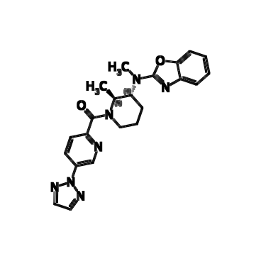 C[C@H]1[C@H](N(C)c2nc3ccccc3o2)CCCN1C(=O)c1ccc(-n2nccn2)cn1